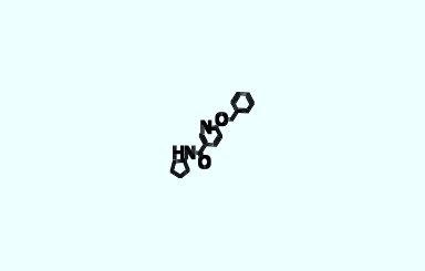 O=C(NC1CCCC1)c1ccc(OCc2ccccc2)nc1